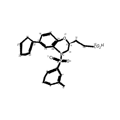 Cc1cccc(S(=O)(=O)N2C[C@H](CCC(=O)O)Oc3ccc(C4=CCCC4)cc32)c1